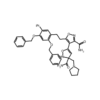 CC(C)c1cc(CCc2onc(C(N)=O)c2C2=CC(CN3CCCC3)(C(N)=O)NO2)c(OCc2ccccc2)cc1OCc1ccccc1